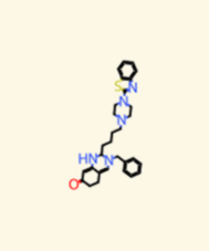 O=C1C=C2NC(CCCCN3CCN(c4nc5ccccc5s4)CC3)N(Cc3ccccc3)C=C2CC1